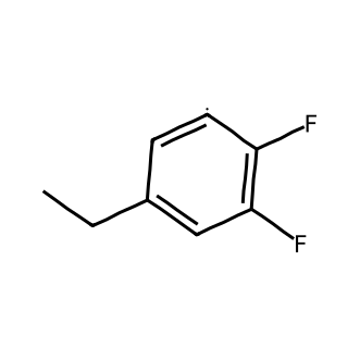 CCc1c[c]c(F)c(F)c1